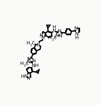 CC1c2ccc(-c3nc(Nc4ccc5[nH]ncc5c4C4CC4)n(C)n3)cc2CCN1CCn1ncc2c(C3CC3)c(Nc3nc(-c4ccc(-c5ncc[nH]5)cc4)nn3C)ccc21